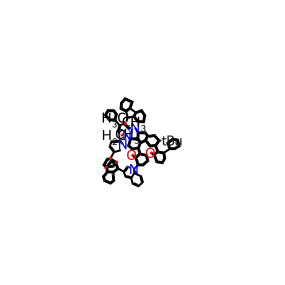 C=N/C(=C\C(=C/C)c1ccccc1)N(c1cccc2c1C(C)(C)c1ccccc1-2)c1cc2cc(C(C)(C)C)c3c(oc4cccc(-c5ccccc5)c43)c2c2c1cc(N1C=CC=C(c3ccccc3)C1)c1oc3c(N4C=C(c5cccc6ccccc56)C=C5C=CC=CC54)cccc3c12